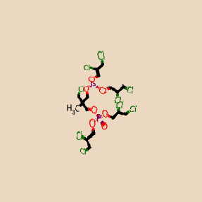 CC(CCl)(COP(OCC(Cl)CCl)OCC(Cl)CCl)COP(=O)(OCC(Cl)CCl)OCC(Cl)CCl